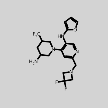 NC1CC(C(F)(F)F)CN(c2cc(CN3CC(F)(F)C3)ncc2Nc2ccco2)C1